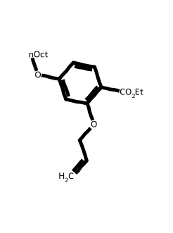 C=CCOc1cc(OCCCCCCCC)ccc1C(=O)OCC